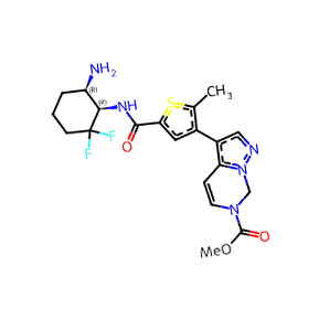 COC(=O)N1C=Cc2c(-c3cc(C(=O)N[C@@H]4[C@H](N)CCCC4(F)F)sc3C)cnn2C1